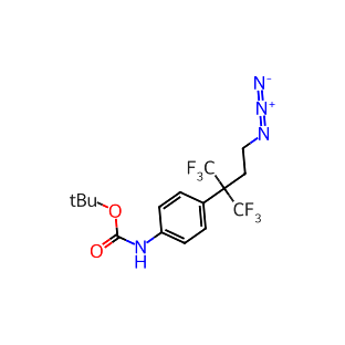 CC(C)(C)OC(=O)Nc1ccc(C(CCN=[N+]=[N-])(C(F)(F)F)C(F)(F)F)cc1